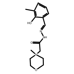 Cc1cccc(C=NNC(=O)C[N+]2(C)CCOCC2)c1O